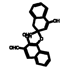 O=Cc1cc2ccccc2c(OC2(C=O)C=C(O)c3ccccc3C2)c1O